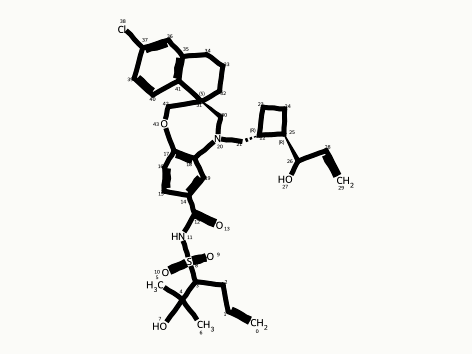 C=CCC(C(C)(C)O)S(=O)(=O)NC(=O)c1ccc2c(c1)N(C[C@@H]1CC[C@H]1C(O)C=C)C[C@@]1(CCCc3cc(Cl)ccc31)CO2